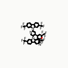 N#Cc1cc(-c2cc(-n3c4cc(C(F)(F)F)ccc4c4ccc(C(F)(F)F)cc43)ncc2-n2c3cc(C(F)(F)F)ccc3c3ccc(C(F)(F)F)cc32)cc(C(F)(F)F)c1